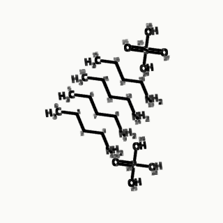 CCCCN.CCCCN.CCCCN.CCCCN.O=P(O)(O)O.O=S(=O)(O)O